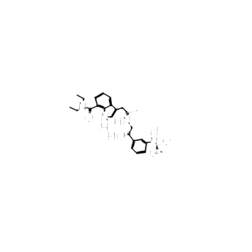 CCN(CC)C(=O)c1cccc2c(C[C@@H](C)NC[C@@H](O)c3cccc(NS(C)(=O)=O)c3)c[nH]c12